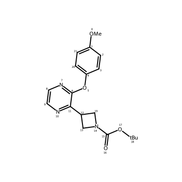 COc1ccc(Oc2nccnc2C2CN(C(=O)OC(C)(C)C)C2)cc1